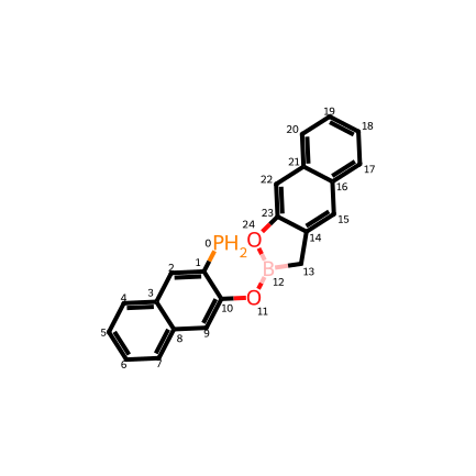 Pc1cc2ccccc2cc1OB1Cc2cc3ccccc3cc2O1